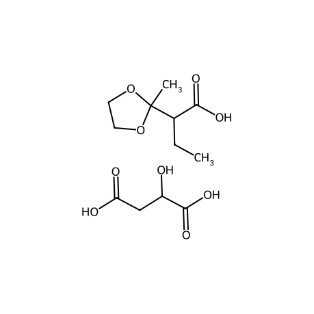 CCC(C(=O)O)C1(C)OCCO1.O=C(O)CC(O)C(=O)O